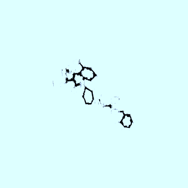 Cc1noc2c1c(=O)n([C@H]1CCC[C@@H](CNC(=O)OCc3ccccc3)C1)c1cccc(Cl)c21